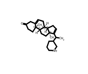 CC(C1=CC[C@H]2[C@@H]3CC=C4CC(=O)CC[C@]4(C)[C@H]3CC[C@]12C)C1CCCNC1